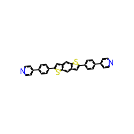 c1cc(-c2ccc(-c3cc4cc5sc(-c6ccc(-c7ccncc7)cc6)cc5cc4s3)cc2)ccn1